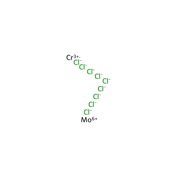 [Cl-].[Cl-].[Cl-].[Cl-].[Cl-].[Cl-].[Cl-].[Cl-].[Cl-].[Cr+3].[Mo+6]